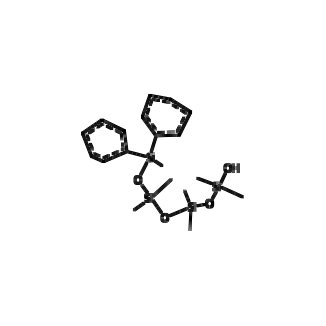 C[Si](C)(O)O[Si](C)(C)O[Si](C)(C)O[Si](C)(c1ccccc1)c1ccccc1